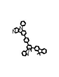 CC1(C)c2ccccc2-c2ccc(-c3cc(-c4ccc(-c5ccc6c(c5)c5cnccc5n6-c5ccccc5)cc4)cc(-c4ccccn4)n3)cc21